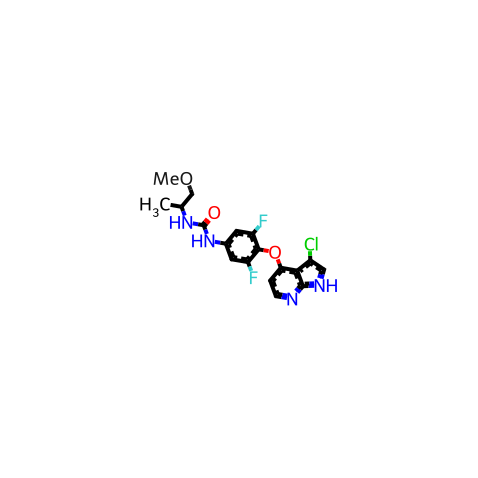 COCC(C)NC(=O)Nc1cc(F)c(Oc2ccnc3[nH]cc(Cl)c23)c(F)c1